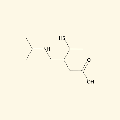 CC(C)NCC(CC(=O)O)C(C)S